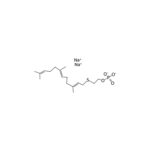 CC(C)=CCCC(C)=CCCC(C)=CCSCCOP(=O)([O-])[O-].[Na+].[Na+]